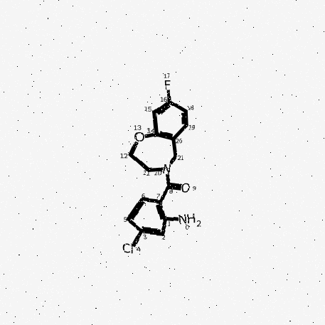 Nc1cc(Cl)ccc1C(=O)N1CCOc2cc(F)ccc2C1